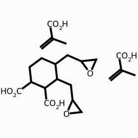 C=C(C)C(=O)O.C=C(C)C(=O)O.O=C(O)C1CCC(CC2CO2)C(CC2CO2)C1C(=O)O